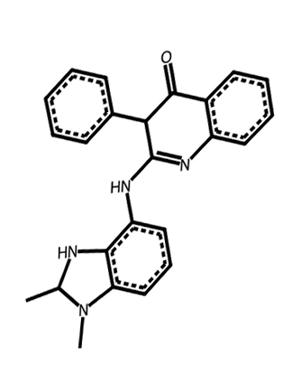 CC1Nc2c(NC3=Nc4ccccc4C(=O)C3c3ccccc3)cccc2N1C